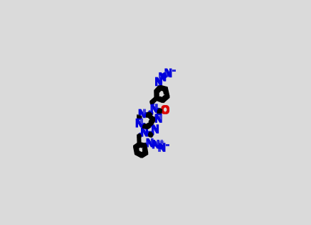 [N-]=[N+]=Nc1cccc(Cn2c3ncnc4c(ncn4Cc4ccccc4N=[N+]=[N-])c-3nc2=O)c1